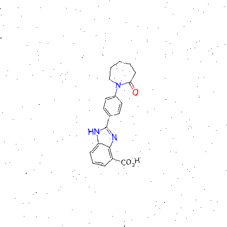 O=C(O)c1cccc2[nH]c(-c3ccc(N4CCCCCC4=O)cc3)nc12